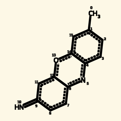 Cc1ccc2nc3ccc(=N)cc-3oc2c1